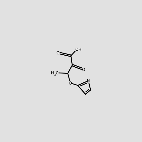 CC(OC1=NC=C1)C(=O)C(=O)O